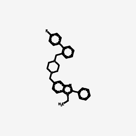 CCn1c(-c2ccccc2)nc2cc(CN3CCN(Cc4ccccc4-c4ccc(F)cc4)CC3)ccc21